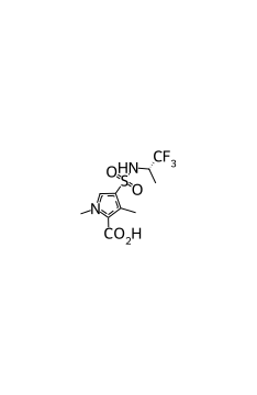 Cc1c(S(=O)(=O)N[C@@H](C)C(F)(F)F)cn(C)c1C(=O)O